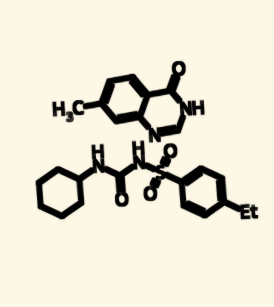 CCc1ccc(S(=O)(=O)NC(=O)NC2CCCCC2)cc1.Cc1ccc2c(=O)[nH]cnc2c1